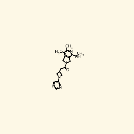 CNc1nc(C)c(C)c2c1CN(C(=O)CC1CN(c3cncnc3)C1)C2